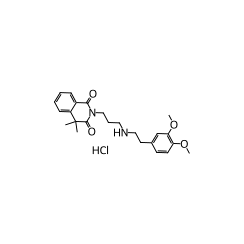 COc1ccc(CCNCCCN2C(=O)c3ccccc3C(C)(C)C2=O)cc1OC.Cl